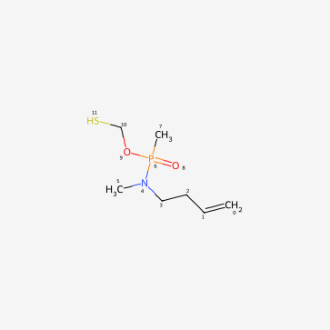 C=CCCN(C)P(C)(=O)OCS